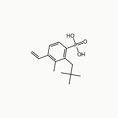 C=Cc1ccc(P(=O)(O)O)c(CC(C)(C)C)c1C